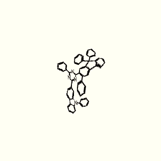 c1ccc(-c2nc(-c3ccc4c5ccccc5n(-c5ccccc5)c4c3)nc(-c3cc4c(cc3-c3ccccc3)-c3ccccc3C4(c3ccccc3)c3ccccc3)n2)cc1